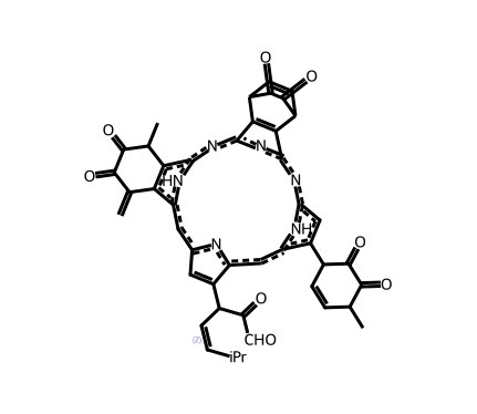 C=C1C(=O)C(=O)C(C)c2c1c1cc3nc(cc4[nH]c(cc4C4C=CC(C)C(=O)C4=O)nc4nc(nc2[nH]1)C1=C4C2C=CC1C(=O)C2=O)C(C(/C=C\C(C)C)C(=O)C=O)=C3